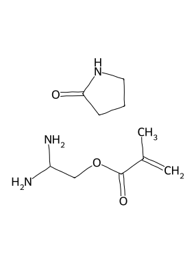 C=C(C)C(=O)OCC(N)N.O=C1CCCN1